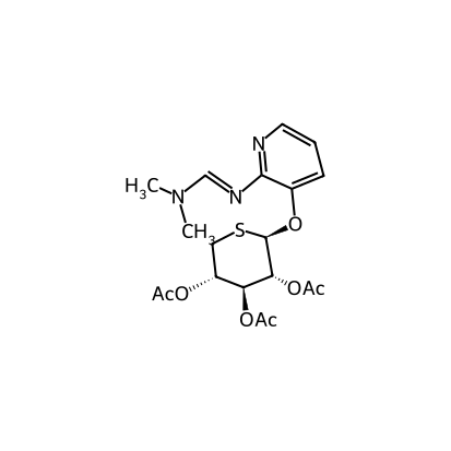 CC(=O)O[C@@H]1[C@@H](OC(C)=O)[C@H](OC(C)=O)CS[C@H]1Oc1cccnc1/N=C/N(C)C